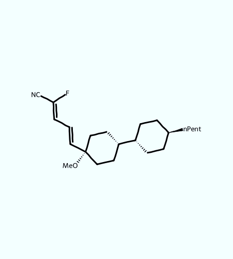 CCCCC[C@H]1CC[C@H]([C@H]2CC[C@@](C=CC=C(F)C#N)(OC)CC2)CC1